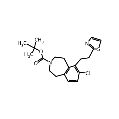 CC(C)(C)OC(=O)N1CCc2ccc(Cl)c(CCc3nccs3)c2CC1